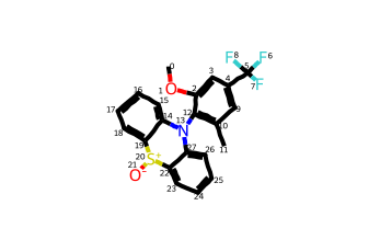 COc1cc(C(F)(F)F)cc(C)c1N1c2ccccc2[S+]([O-])c2ccccc21